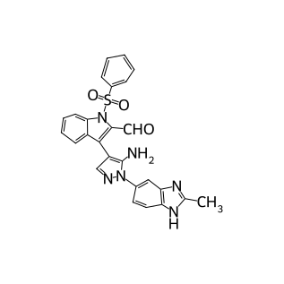 Cc1nc2cc(-n3ncc(-c4c(C=O)n(S(=O)(=O)c5ccccc5)c5ccccc45)c3N)ccc2[nH]1